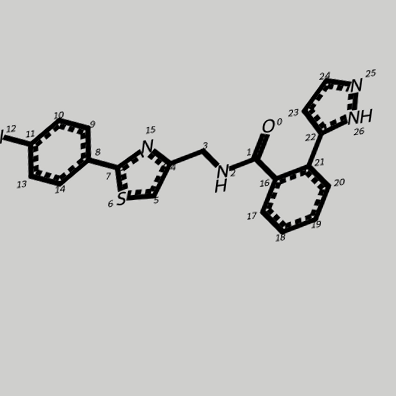 O=C(NCc1csc(-c2ccc(Cl)cc2)n1)c1ccccc1-c1ccn[nH]1